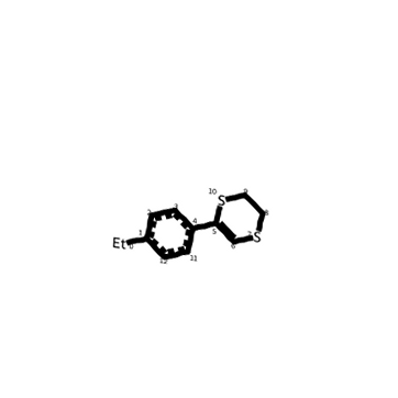 CCc1ccc(C2=CSCCS2)cc1